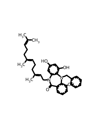 CC(C)=CCC/C(C)=C/CC/C(C)=C/CN1C(=O)c2cccc(O)c2N(Cc2ccccc2)c2c(O)cc(O)cc21